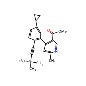 COC(=O)c1cnc(C)cc1-c1cc(C2CC2)ccc1C#C[Si](C)(C)C(C)(C)C